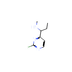 CCC(NC)c1ccnc(Cl)n1